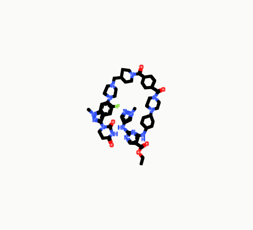 CCOC(=O)c1cnc(Nc2cnn(C)c2)nc1NC1CCC(N2CCN(C(=O)C3CCC(C(=O)N4CCC(CN5CCN(c6cc7c(cc6F)c(N6CCC(=O)NC6=O)nn7C)CC5)CC4)CC3)CC2)CC1